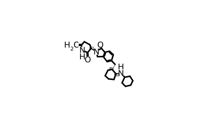 C=C1CC[C@@H](N2Cc3cc(C[C@H]4CCCC[C@@H]4NC4CCCCC4)ccc3C2=O)C(=O)N1